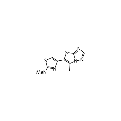 CNc1nc(-c2sc3ncnn3c2C)cs1